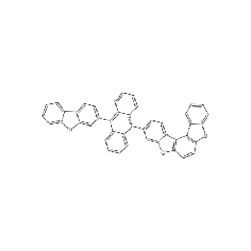 c1ccc2c(c1)oc1cc(-c3c4ccccc4c(-c4ccc5c(c4)oc4ccc6oc7ccccc7c6c45)c4ccccc34)ccc12